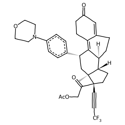 CC(=O)OCC(=O)[C@@]1(C#CC(F)(F)F)CC[C@H]2[C@@H]3CCC4=CC(=O)CCC4=C3[C@@H](c3ccc(N4CCOCC4)cc3)C[C@@]21C